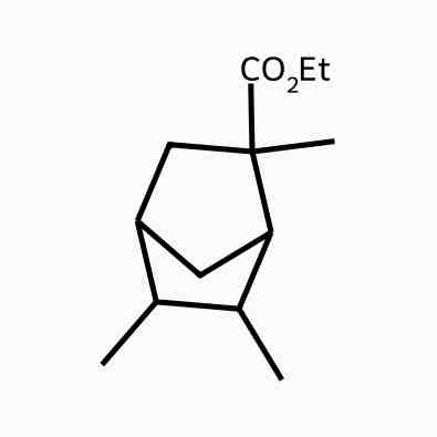 CCOC(=O)C1(C)CC2CC1C(C)C2C